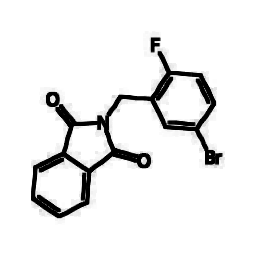 O=C1c2ccccc2C(=O)N1Cc1cc(Br)ccc1F